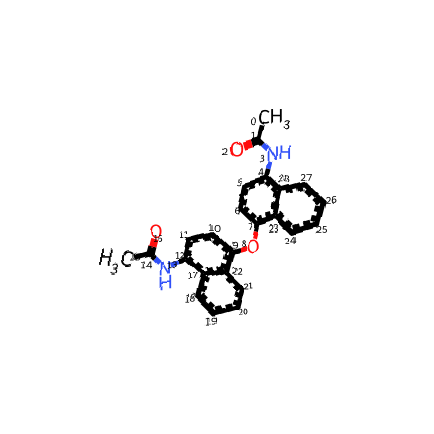 CC(=O)Nc1ccc(Oc2ccc(NC(C)=O)c3ccccc23)c2ccccc12